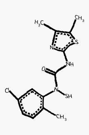 Cc1ccc(Cl)cc1N(S)C(=O)Nc1nc(C)c(C)s1